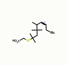 CC(/C=C\CC(C)(C)C)C(C)(C)CC(C)(C)SCC(=O)O